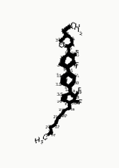 C=CC1CCC(c2ccc(-c3ccc(-c4ccc(CCCCCCCC)c(F)c4F)cc3)c(F)c2F)OC1